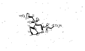 O=C(O)CS(=O)(=O)c1cc(S(=O)(=O)CC(=O)O)c2ccccc2n1